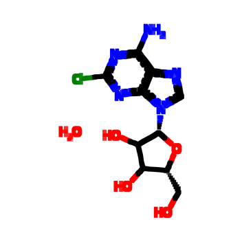 Nc1nc(Cl)nc2c1ncn2[C@@H]1O[C@H](CO)C(O)C1O.O